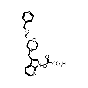 O=C(O)C(=O)On1cc(CN2CCO[C@@H](COCc3ccccc3)C2)c2cccnc21